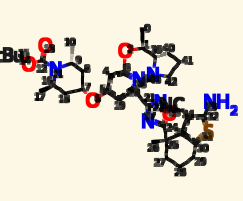 C[C@H](Oc1cc(OC2C[C@@H](C)N(C(=O)OC(C)(C)C)[C@H](C)C2)cc(-c2noc([C@@]3(C)CCCc4sc(N)c(C#N)c43)n2)n1)[C@@H]1CCCN1C